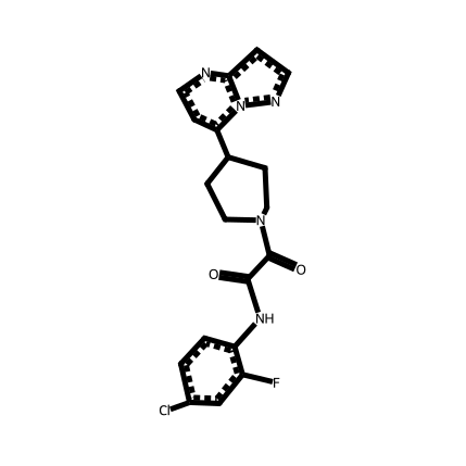 O=C(Nc1ccc(Cl)cc1F)C(=O)N1CCC(c2ccnc3ccnn23)CC1